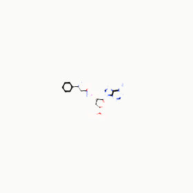 Nc1ncnc2c1ncn2[C@@H]1O[C@H](C(=O)O)C[C@H]1ONC(=O)CC(N)c1ccccc1